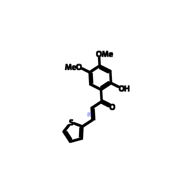 COc1cc(O)c(C(=O)/C=C/c2cccs2)cc1OC